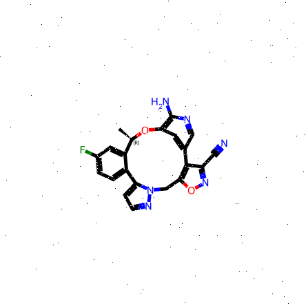 C[C@H]1Oc2cc(cnc2N)-c2c(C#N)noc2Cn2nccc2-c2ccc(F)cc21